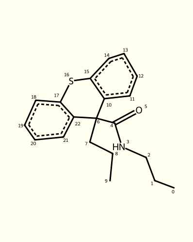 CCCNC(=O)C1(CCC)c2ccccc2Sc2ccccc21